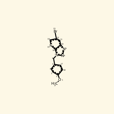 COc1ccc(Cn2nnc3cc(Br)cnc32)cc1